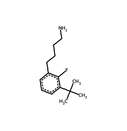 CC(C)(C)c1cccc(CCCCN)c1F